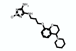 Nc1n[s+]([O-])nc1NCCCOc1cccc2c1OCCC2N1CCCCC1